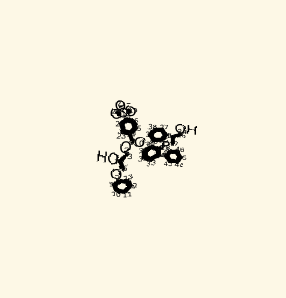 O=C(OCC(O)COc1ccccc1)c1ccc(S(=O)(=O)[O-])cc1.OCCC[P+](c1ccccc1)(c1ccccc1)c1ccccc1